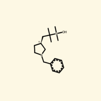 CC(C)(C[C@@H]1CCN(Cc2ccccc2)C1)[Si](C)(C)O